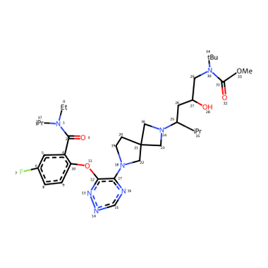 CCN(C(=O)c1cc(F)ccc1Oc1nncnc1N1CCC2(C1)CN(C(CC(O)CN(C(=O)OC)C(C)(C)C)C(C)C)C2)C(C)C